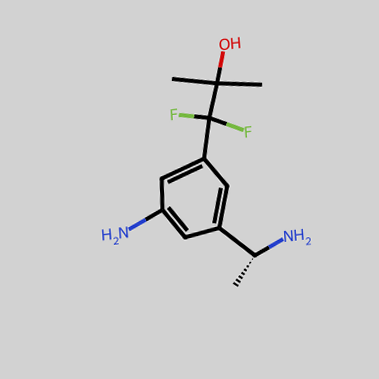 C[C@@H](N)c1cc(N)cc(C(F)(F)C(C)(C)O)c1